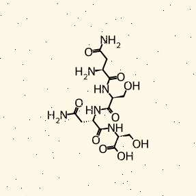 NC(=O)C[C@H](NC(=O)[C@H](CO)NC(=O)[C@@H](N)CC(N)=O)C(=O)N[C@@H](CO)C(=O)O